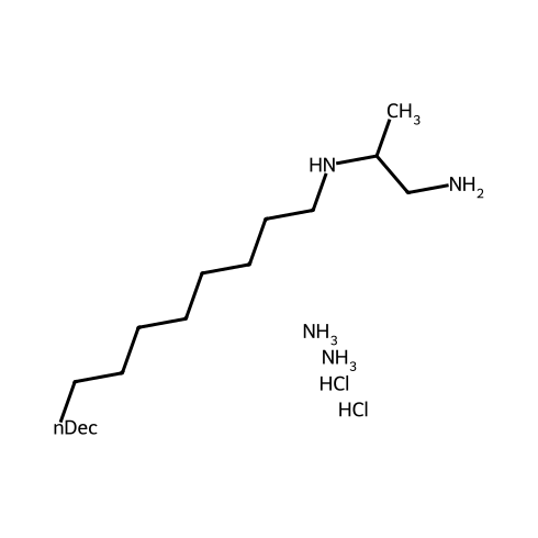 CCCCCCCCCCCCCCCCCCNC(C)CN.Cl.Cl.N.N